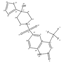 O=c1cc(C(F)(F)F)c2cc(S(=O)(=O)N3CCC(O)(c4cccs4)CC3)ccc2[nH]1